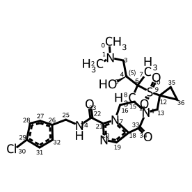 CN(C)C[C@H](O)C(C)(C)S(=O)(=O)C1(CN2CCn3c(cnc3C(=O)NCc3ccc(Cl)cc3)C2=O)CC1